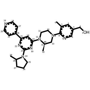 Cc1cc(CO)cnc1N1CCN(c2cc(-c3ccncc3)nc(N3CCCC3C)n2)[C@H](C)C1